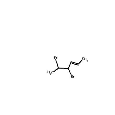 [CH2]C(CC)C(C=CC)CC